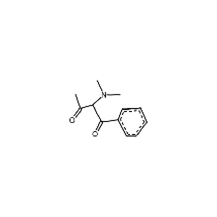 CC(=O)C(C(=O)c1ccccc1)N(C)C